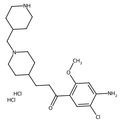 COc1cc(N)c(Cl)cc1C(=O)CCC1CCN(CC2CCNCC2)CC1.Cl.Cl